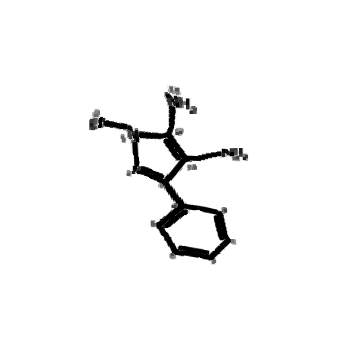 CCn1nc(-c2ccccc2)c(N)c1N